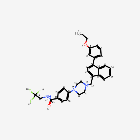 CCOc1cccc(-c2ccc(CN3CCN(c4ccc(C(=O)NCC(F)(F)F)cc4)CC3)c3ccccc23)c1